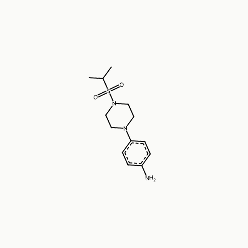 CC(C)S(=O)(=O)N1CCN(c2ccc(N)cc2)CC1